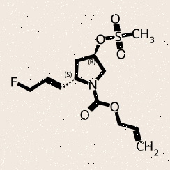 C=CCOC(=O)N1C[C@H](OS(C)(=O)=O)C[C@H]1C=CCF